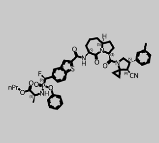 CCCOC(=O)[C@H](C)NP(=O)(Oc1ccccc1)[C@@H](F)c1ccc2sc(C(=O)N[C@H]3CCC[C@H]4CC[C@@H](C(=O)N5C[C@H](c6cccc(C)c6)[C@@H](C#N)C56CC6)N4C3=O)cc2c1